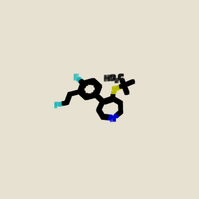 CC(C)(SC1=C(c2ccc(F)c(CCF)c2)CC=NCC1)C(=O)O